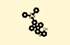 N#Cc1cccc2sc3ccc4c(c3c12)-c1ccccc1C4(c1ccccc1)c1ccc(-c2nc(-c3ccccc3)nc(-c3ccccc3)n2)cc1